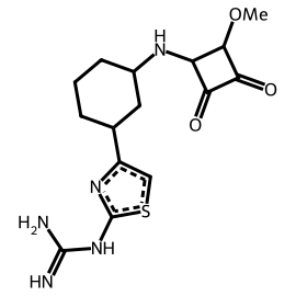 COC1C(=O)C(=O)C1NC1CCCC(c2csc(NC(=N)N)n2)C1